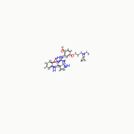 CCN(CCCOc1ccc(OC)c(Nc2nc(Nc3ccccc3OC)c3cc[nH]c3n2)c1)C1CC1